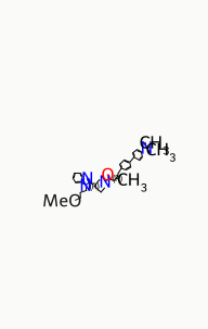 COCCCn1c([C@@H]2CCCN(C(=O)C[C@H](C)Cc3ccc(-c4ccc(N(C)C)cc4)cc3)C2)nc2ccccc21